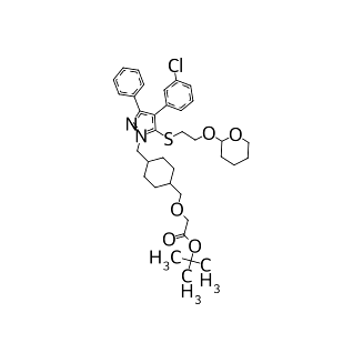 CC(C)(C)OC(=O)COCC1CCC(Cn2nc(-c3ccccc3)c(-c3cccc(Cl)c3)c2SCCOC2CCCCO2)CC1